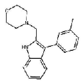 Cc1cccc(-c2c(CN3CCOCC3)[nH]c3ncccc23)c1